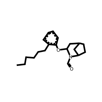 CCCCCCc1ccccc1OC1CC2CCC(C2)N1C=O